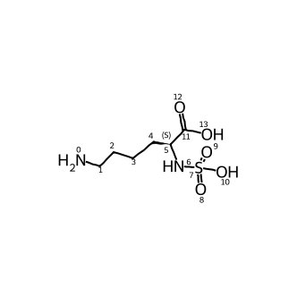 NCCCC[C@H](NS(=O)(=O)O)C(=O)O